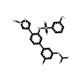 CCn1cc(-c2ccc(-c3cc(F)cc(OC(F)F)c3)cc2NS(=O)(=O)c2cccc(C(F)(F)F)c2)cn1